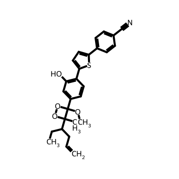 C=CCC(CC)C1(C)OOC1(OC)c1ccc(-c2ccc(-c3ccc(C#N)cc3)s2)c(O)c1